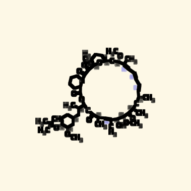 CO[C@H]1C[C@@H]2CC[C@@H](C)[C@@](O)(O2)C(=O)C(=O)N2CCCCC2C(=O)OC([C@H](C)C[C@@H]2CC[C@@H](O[Si](C)(C)C)[C@H](OC)C2)CC(=O)[C@H](C)/C=C(\C)[C@@H](O)[C@@H](OC)C(=O)[C@H](C)C[C@H](C)/C=C/C=C/C=C/1C